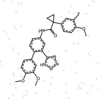 COc1ccc(C2(C(=O)Nc3ccc(-c4ccc(OC)c(OC)c4)c(-c4nnn[nH]4)c3)CC2)cc1F